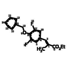 CCOC(=O)C(C)=Cc1cc(F)c(OCc2ccccc2)c(F)c1